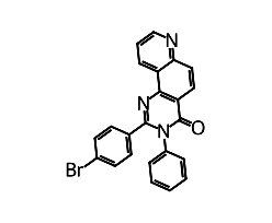 O=c1c2ccc3ncccc3c2nc(-c2ccc(Br)cc2)n1-c1ccccc1